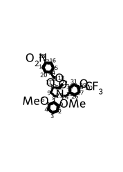 COc1cccc(OC)c1[C@@H]1C[C@@H](OC(=O)c2ccc([N+](=O)[O-])cc2)C(=O)N1Cc1ccc(OC(F)(F)F)cc1